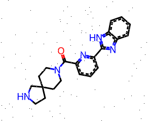 O=C(c1cccc(-c2nc3ccccc3[nH]2)n1)N1CCC2(CCNC2)CC1